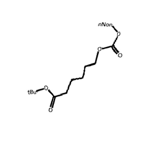 CCCCCCCCCOC(=O)OCCCCCC(=O)OC(C)(C)C